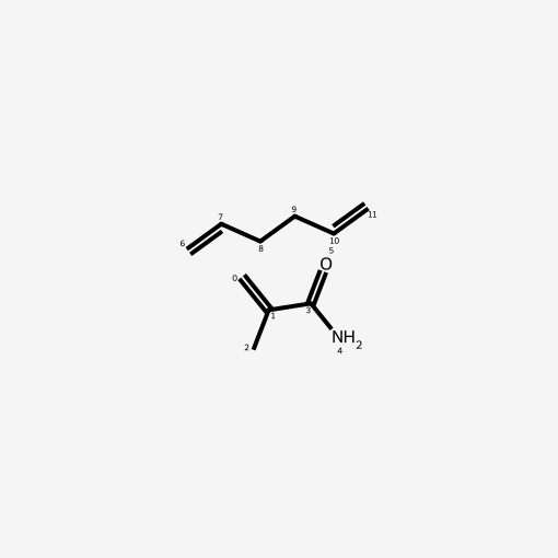 C=C(C)C(N)=O.C=CCCC=C